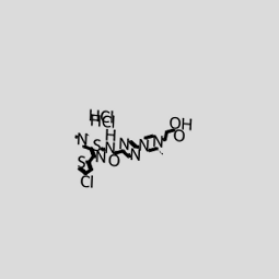 C[C@@H]1CN(c2cnc(C(=O)Nc3nc(-c4cc(Cl)cs4)c(CN(C)C)s3)cn2)CCN1CCC(=O)O.Cl.Cl